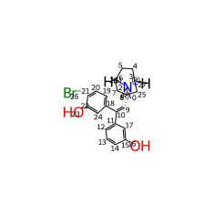 C[N+]1(C)[C@@H]2CC[C@H]1C[C@@H](C=C(c1cccc(O)c1)c1cccc(O)c1)C2.[Br-]